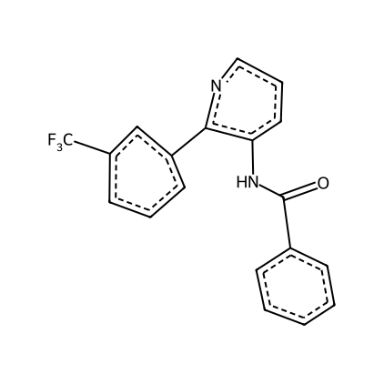 O=C(Nc1cccnc1-c1cccc(C(F)(F)F)c1)c1ccccc1